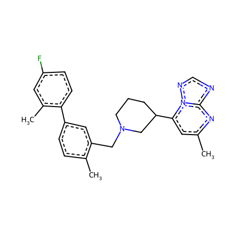 Cc1cc(C2CCCN(Cc3cc(-c4ccc(F)cc4C)ccc3C)C2)n2ncnc2n1